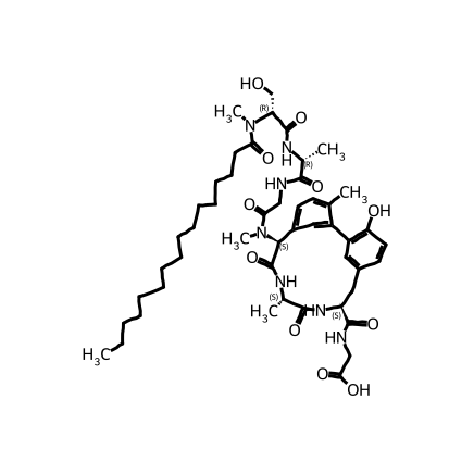 CCCCCCCCCCCCCCCC(=O)N(C)[C@H](CO)C(=O)N[C@H](C)C(=O)NCC(=O)N(C)[C@@H]1C(=O)N[C@@H](C)C(=O)N[C@H](C(=O)NCC(=O)O)Cc2ccc(O)c(c2)-c2cc1ccc2C